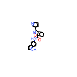 O=C(Nc1ccc2[nH]ccc2c1)C12ON=C(c3cccnc3)C1C1CCC2C1